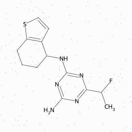 CC(F)c1nc(N)nc(NC2CCCc3sccc32)n1